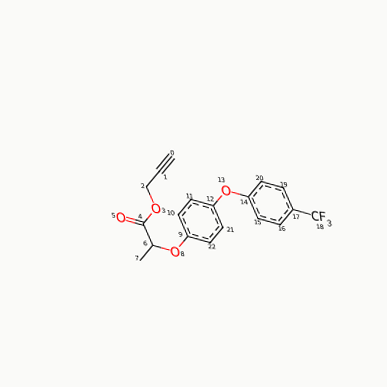 C#CCOC(=O)C(C)Oc1ccc(Oc2ccc(C(F)(F)F)cc2)cc1